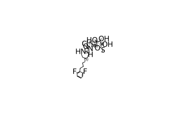 CSC1O[C@H]([C@H](NC(=O)[C@@H]2CC[C@H](CCCCc3c(F)cccc3F)CCN2)[C@H](C)Cl)[C@@H](O)C(O)[C@H]1O